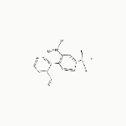 O=[N+]([O-])c1cc(C(F)(F)F)ccc1-c1ccccc1C=S